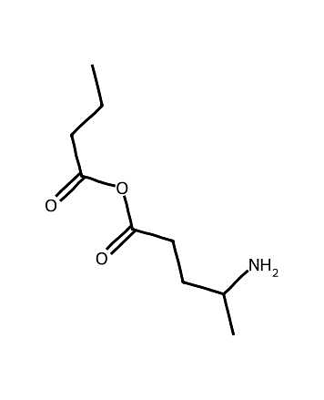 CCCC(=O)OC(=O)CCC(C)N